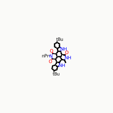 C=c1[nH]c(=O)c2c3[nH]c4cc(C(C)(C)C)ccc4c3c3c4c(c5c6ccc(C(C)(C)C)cc6[nH]c5c1c42)C(=O)N(CCC)C3=O